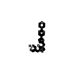 NC/C(=C\F)Cn1ncn(Cc2ccc(-c3cnc(N4CCOCC4)nc3)s2)c1=O